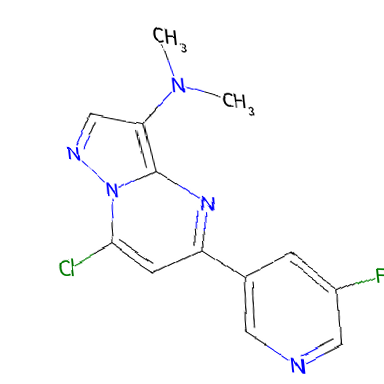 CN(C)c1cnn2c(Cl)cc(-c3cncc(F)c3)nc12